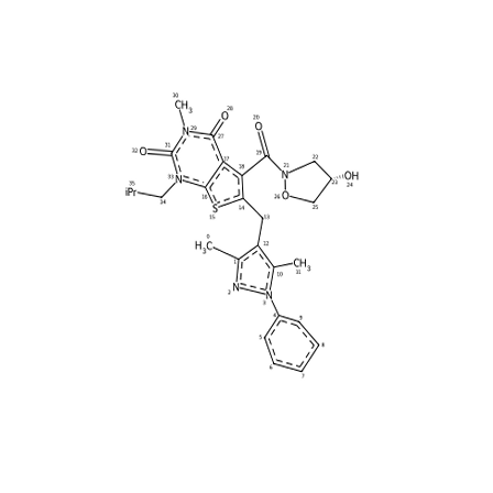 Cc1nn(-c2ccccc2)c(C)c1Cc1sc2c(c1C(=O)N1C[C@H](O)CO1)c(=O)n(C)c(=O)n2CC(C)C